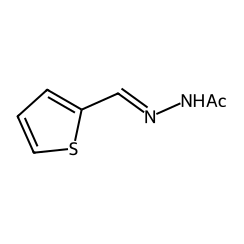 [CH2]C(=O)NN=Cc1cccs1